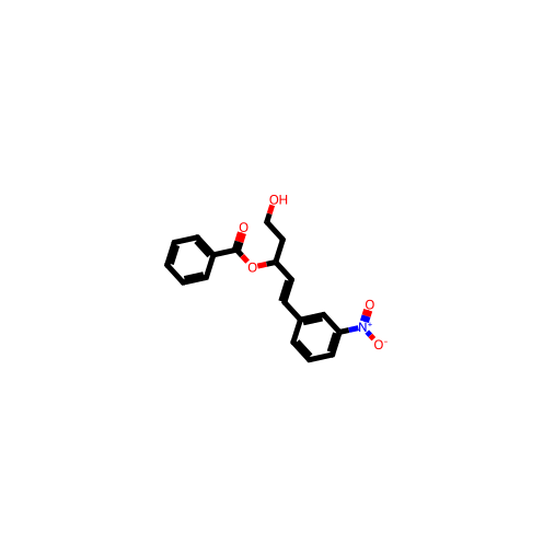 O=C(OC(C=Cc1cccc([N+](=O)[O-])c1)CCO)c1ccccc1